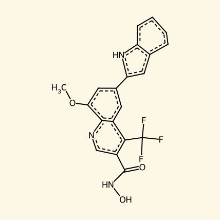 COc1cc(-c2cc3ccccc3[nH]2)cc2c(C(F)(F)F)c(C(=O)NO)cnc12